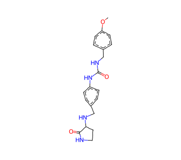 COc1ccc(CNC(=O)Nc2ccc(CNC3CCNC3=O)cc2)cc1